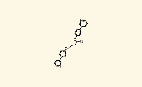 [CH2]CC(CCCOc1ccc(-c2cccnc2)cc1)Oc1ccc(-c2cccnc2)cc1